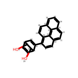 OC1C2C=CC(C(c3ccc4ccc5cccc6ccc3c4c56)=C2)C1O